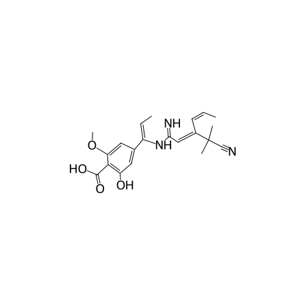 C/C=C\C(=C/C(=N)N/C(=C\C)c1cc(O)c(C(=O)O)c(OC)c1)C(C)(C)C#N